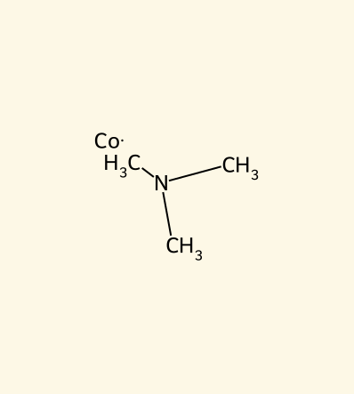 CN(C)C.[Co]